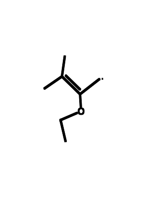 [CH2]C(OCC)=C(C)C